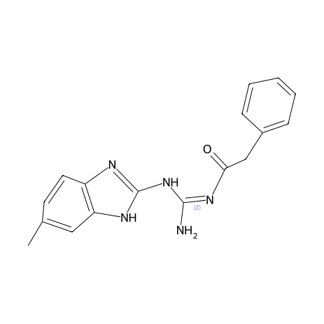 Cc1ccc2nc(N/C(N)=N\C(=O)Cc3ccccc3)[nH]c2c1